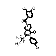 CC(C)Nc1nc2c(c(=O)n1-c1ccc(Br)cc1)CCN(C(=O)c1ccc(Cl)c(Cl)c1)C2